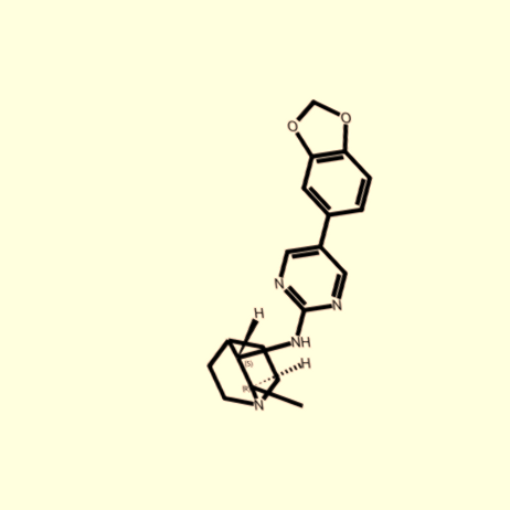 C[C@@H]1[C@@H](Nc2ncc(-c3ccc4c(c3)OCO4)cn2)C2CCN1CC2